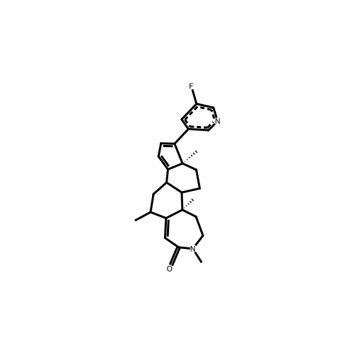 CC1CC2C3=CC=C(c4cncc(F)c4)[C@@]3(C)CCC2[C@@]2(C)CCN(C)C(=O)C=C12